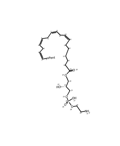 CCCCC/C=C\C/C=C\C/C=C\C/C=C\CCCCCC(=O)OC[C@@H](O)COP(=O)(O)OCCN